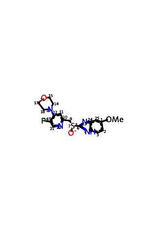 COc1ccc2[nH]c([S+]([O-])Cc3cc(N4CCOCC4)c(F)cn3)nc2c1